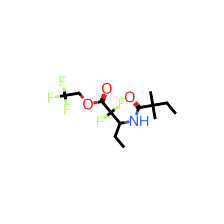 CCC(NC(=O)C(C)(C)CC)C(F)(F)C(=O)OCC(F)(F)F